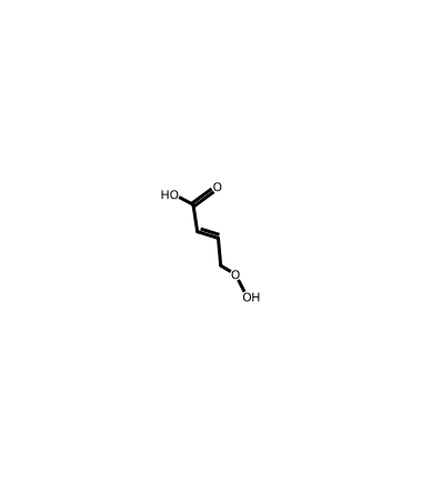 O=C(O)C=CCOO